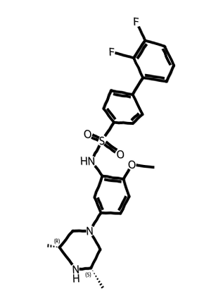 COc1ccc(N2C[C@@H](C)N[C@@H](C)C2)cc1NS(=O)(=O)c1ccc(-c2cccc(F)c2F)cc1